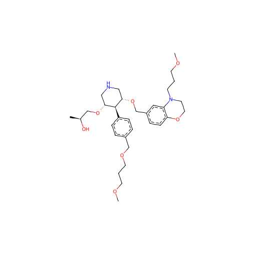 COCCCOCc1ccc([C@@H]2[C@@H](OCc3ccc4c(c3)N(CCCOC)CCO4)CNC[C@H]2OC[C@H](C)O)cc1